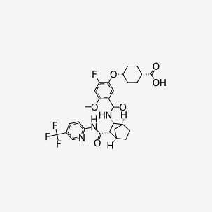 COc1cc(F)c(O[C@H]2CC[C@@H](C(=O)O)CC2)cc1C(=O)N[C@@H]1[C@H]2CC[C@H](C2)[C@@H]1C(=O)Nc1ccc(C(F)(F)F)cn1